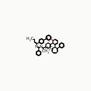 C=C/C=C(/N=C(\N=C(/C)C1CC=C(C2C(C3C(C)=CC=CC=C3c3ccccc3)=CC=CC2C)CC1)c1ccccc1)c1ccc(-c2ccccc2)cc1